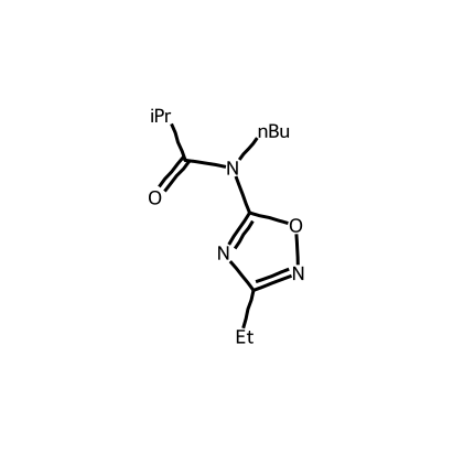 CCCCN(C(=O)C(C)C)c1nc(CC)no1